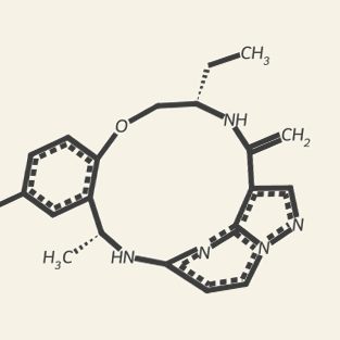 C=C1N[C@@H](CC)COc2ccc(F)cc2[C@@H](C)Nc2ccn3ncc1c3n2